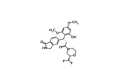 COc1cc(O)c([C@H](CC(=O)N2CCO[C@@H](C(F)F)C2)c2ccc3c(c2)CNC3=O)c(OC)c1